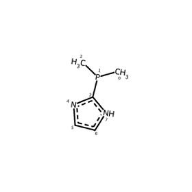 CP(C)c1ncc[nH]1